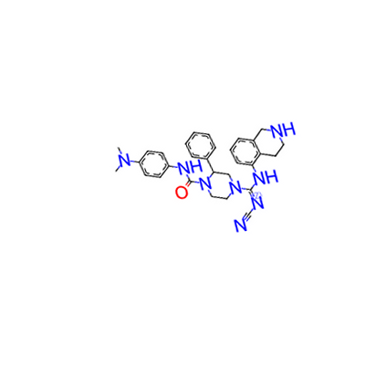 CN(C)c1ccc(NC(=O)N2CCN(/C(=N\C#N)Nc3cccc4c3CCNC4)CC2c2ccccc2)cc1